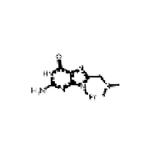 CC(C)n1c(CN(C)C)nc2c(=O)[nH]c(N)nc21